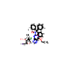 CCOc1nc(N(OC)C(c2ccccc2)(c2ccccc2)c2ccccc2)nc2c1ncn2[C@@H]1O[C@H](CI)[C@@H](O)C1(C)F